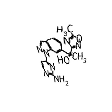 Cc1nc([C@](C)(O)c2ccc3cnn(-c4ccnc(N)n4)c3c2)no1